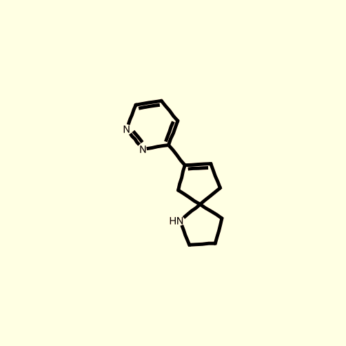 C1=C(c2cccnn2)CC2(C1)CCCN2